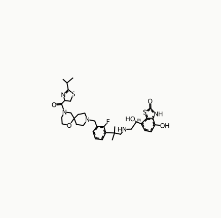 CC(C)C1=NC(C(=O)N2CCOC3(CCN(Cc4cccc(C(C)(C)CNC[C@H](O)c5ccc(O)c6[nH]c(=O)sc56)c4F)CC3)C2)CS1